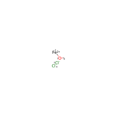 C[O][Fe+2].[Cl-].[Cl-]